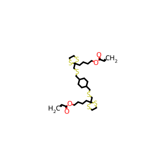 C=CC(=O)OCCCCC1(CSCC2CCC(CSCC3(CCCCOC(=O)C=C)SCCS3)CC2)SCCS1